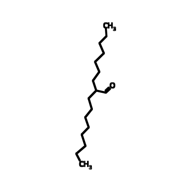 CCCCCCCCC(C=O)CCCCCCC